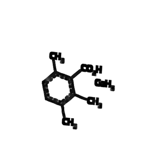 Cc1ccc(C)c(C(=O)O)c1C.[GaH3]